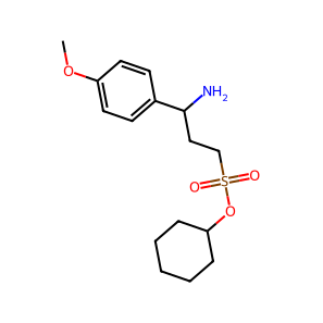 COc1ccc(C(N)CCS(=O)(=O)OC2CCCCC2)cc1